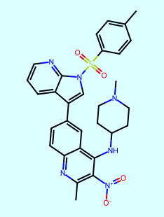 Cc1ccc(S(=O)(=O)n2cc(-c3ccc4nc(C)c([N+](=O)[O-])c(NC5CCN(C)CC5)c4c3)c3cccnc32)cc1